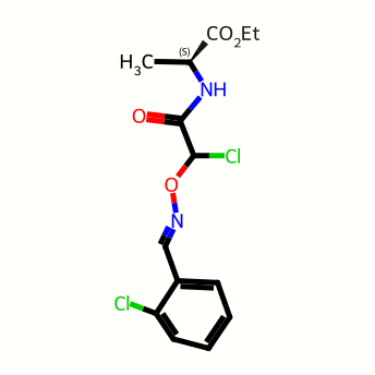 CCOC(=O)[C@H](C)NC(=O)C(Cl)ON=Cc1ccccc1Cl